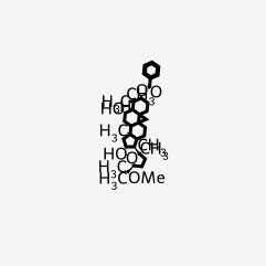 COC(C)(C)[C@@H]1CC[C@](C)([C@H]2[C@@H](O)C[C@@]3(C)C4C[C@H](O)[C@H]5C(C)(C)[C@@H](OC(=O)c6ccccc6)CCC56CC46CC[C@]23C)O1